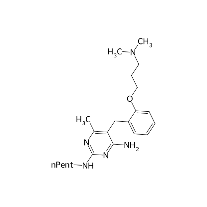 CCCCCNc1nc(C)c(Cc2ccccc2OCCCN(C)C)c(N)n1